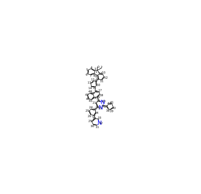 CC1(C)c2ccccc2-c2c(-c3cccc(-c4ccc(-c5cc(-c6cccc(-c7cccnc7)c6)nc(-c6ccccc6)n5)c5ccccc45)c3)cccc21